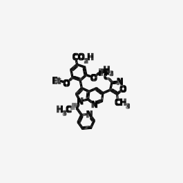 CCOc1cc(C(=O)O)cc(OC(C)C)c1-c1cn([C@@H](C)c2ccccn2)c2ncc(-c3c(C)noc3C)cc12